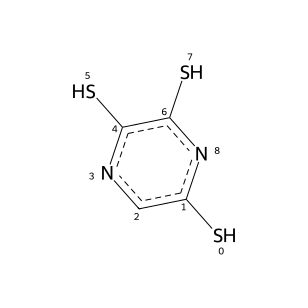 Sc1cnc(S)c(S)n1